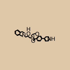 O=C1c2ccc(C3=CCNCC3)cc2OCCN1CC(O)CN1CCc2ccccc2C1